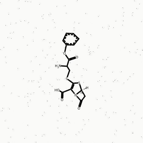 NC(CSC1=C(C(=O)O)N2C(=O)C[C@@H]2S1)C(=O)Oc1ccccc1